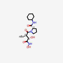 CCCC[C@@H](C(=O)N1CCC[C@H]1C(=O)NC1CCCCC1)[C@H](O)C(=O)NO